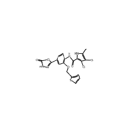 Cc1[nH]c(C(=O)Nc2ccc(-c3n[nH]c(=O)o3)cc2OCc2cccs2)c(Cl)c1Cl